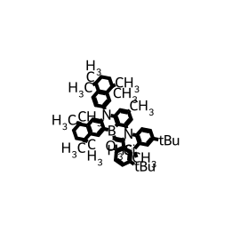 Cc1cc2c3c(c1)N(c1ccc(C(C)(C)C)cc1[SiH](C)C)c1c(oc4ccc(C(C)(C)C)cc14)B3c1cc3c(cc1N2c1ccc2c(c1)C(C)(C)CCC2(C)C)C(C)(C)CCC3(C)C